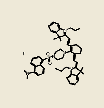 CCCN1/C(=C\C=C2/CCCC(/C=C/C3=[N+](CCC)c4ccccc4C3(C)C)=C2N2CCN(S(=O)(=O)c3cccc4c(N(C)C)cccc34)CC2)C(C)(C)c2ccccc21.[I-]